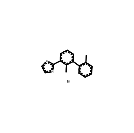 Cc1ccccc1-c1cccc(-c2ncco2)c1C.[N]